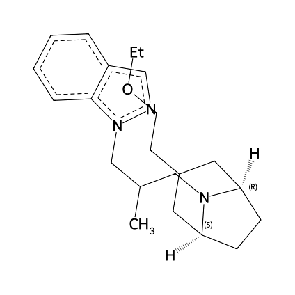 CCOCCC1C[C@H]2CC[C@@H](C1)N2CC(C)Cn1ncc2ccccc21